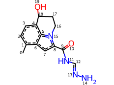 Cc1ccc2c3c1cc(C(=O)NC=NN)n3CCC2O